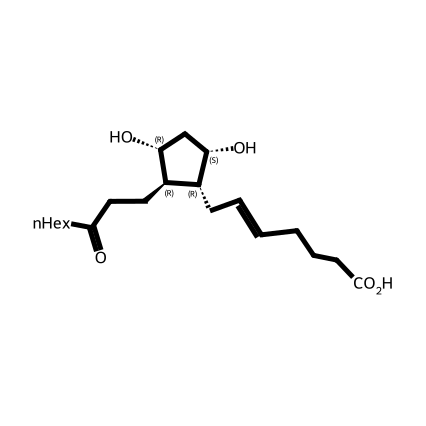 CCCCCCC(=O)CC[C@@H]1[C@@H](CC=CCCCC(=O)O)[C@@H](O)C[C@H]1O